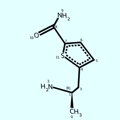 C[C@@H](N)Cc1ccc(C(N)=O)s1